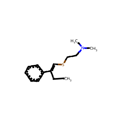 CCC(=CSCCN(C)C)c1ccccc1